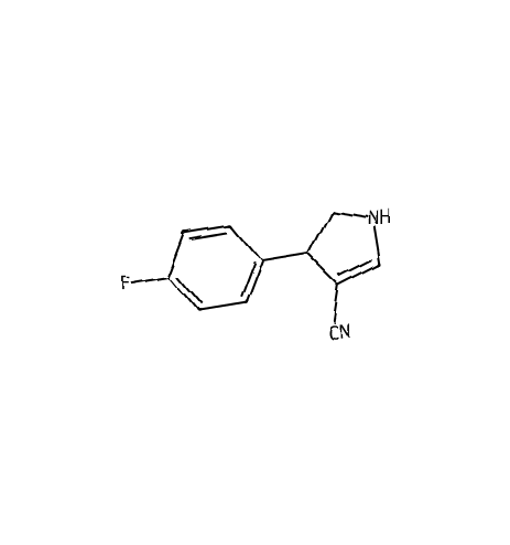 N#CC1=CNCC1c1ccc(F)cc1